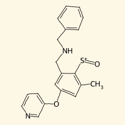 Cc1cc(Oc2cccnc2)cc(CNCc2ccccc2)c1[S+]=O